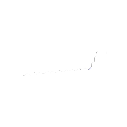 CCCCCC/C=C\COOCCCCCCCCNCCCCCCCC=O